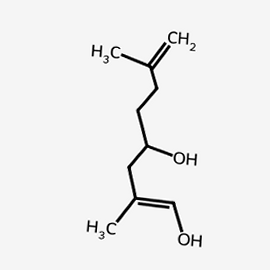 C=C(C)CCC(O)CC(C)=CO